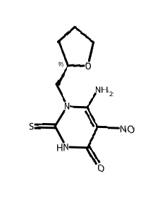 Nc1c(N=O)c(=O)[nH]c(=S)n1C[C@H]1CCCO1